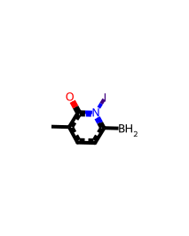 Bc1ccc(C)c(=O)n1I